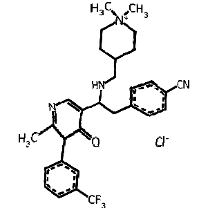 CC1=NC=C(C(Cc2ccc(C#N)cc2)NCC2CC[N+](C)(C)CC2)C(=O)C1c1cccc(C(F)(F)F)c1.[Cl-]